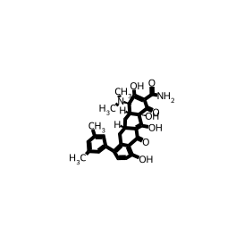 Cc1cc(C)cc(-c2ccc(O)c3c2C[C@@H]2C[C@@H]4[C@@H](N(C)C)C(O)=C(C(N)=O)C(=O)[C@@]4(O)C(O)=C2C3=O)c1